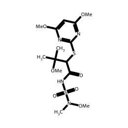 COc1cc(OC)nc(SC(C(=O)NS(=O)(=O)N(C)OC)C(C)(C)OC)n1